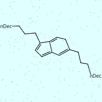 CCCCCCCCCCCCCC1=CC2=CC=C(CCCCCCCCCCCCC)C2=CC1